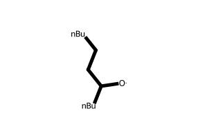 CCCCCCC([O])CCCC